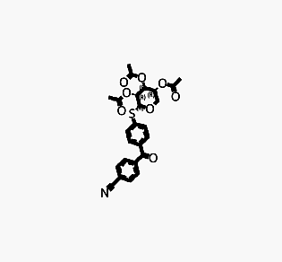 CC(=O)O[C@@H]1[C@@H](OC(C)=O)[C@H](OC(C)=O)CO[C@@H]1Sc1ccc(C(=O)c2ccc(C#N)cc2)cc1